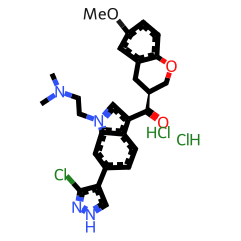 COc1ccc2c(c1)C[C@H](C(=O)c1cn(CCN(C)C)c3cc(-c4c[nH]nc4Cl)ccc13)CO2.Cl.Cl